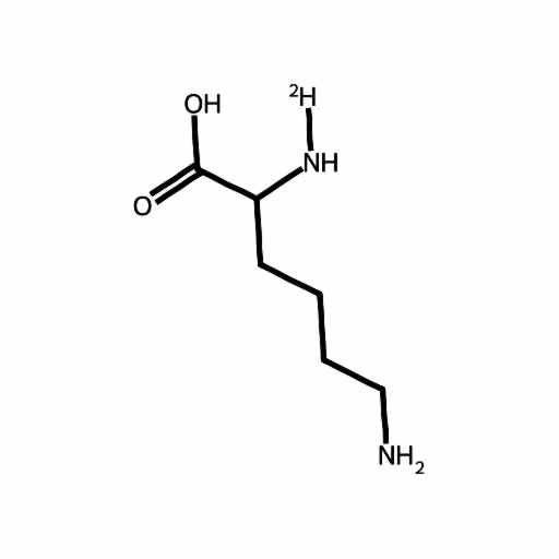 [2H]NC(CCCCN)C(=O)O